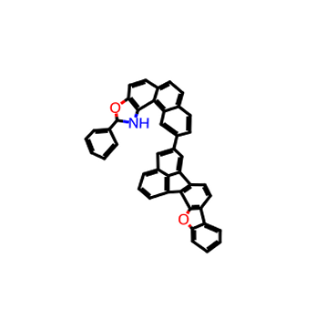 c1ccc(C2Nc3c(ccc4ccc5ccc(-c6cc7c8c(cccc8c6)-c6c-7ccc7c6oc6ccccc67)cc5c34)O2)cc1